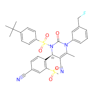 CC1=C(C#N)[C@@H](c2ccc(C#N)cc2S(C)(=O)=O)N(S(=O)(=O)c2ccc(C(C)(C)C)cc2)C(=O)N1c1cccc(CF)c1